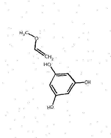 C=COC.Oc1cc(O)cc(O)c1